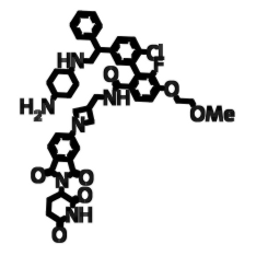 COCCOc1ccc(C(=O)NCC2CN(c3ccc4c(c3)C(=O)N(C3CCC(=O)NC3=O)C4=O)C2)c(-c2cc(C(CNC3CCC(N)CC3)c3ccccc3)ccc2Cl)c1F